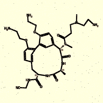 C[C@@H]1NC(=O)[C@@H](N(C)C(=O)CCN(C)CCN)c2ccc(OCCN)c(c2)-c2cc(ccc2OCCN)C[C@@H](C(=O)NCC#N)NC1=O